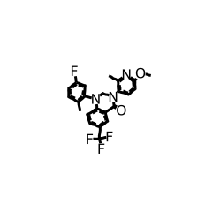 COc1ccc(N2CN(c3cc(F)ccc3C)c3ccc(C(F)(F)F)cc3C2=O)c(C)n1